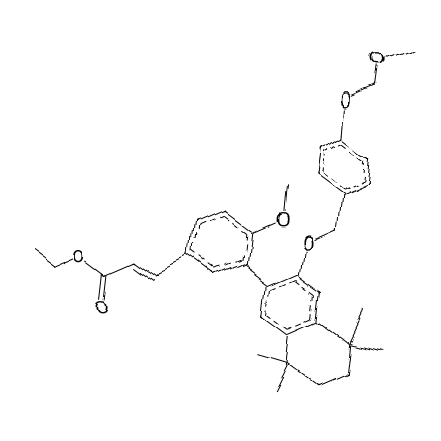 CCOC(=O)C=Cc1ccc(OC)c(-c2cc3c(cc2OCc2ccc(OCOC)cc2)C(C)(C)CCC3(C)C)c1